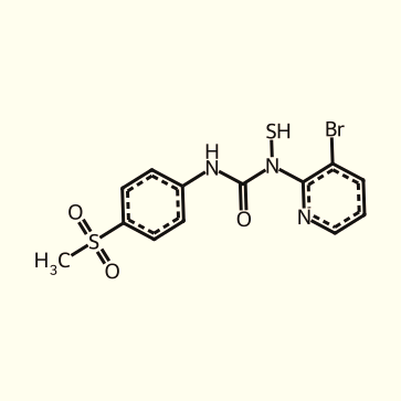 CS(=O)(=O)c1ccc(NC(=O)N(S)c2ncccc2Br)cc1